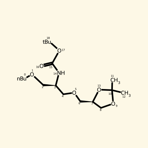 CCCCOC[C@H](COC[C@@H]1COC(C)(C)O1)NC(=O)OC(C)(C)C